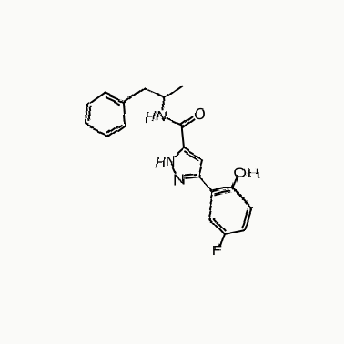 CC(Cc1ccccc1)NC(=O)c1cc(-c2cc(F)ccc2O)n[nH]1